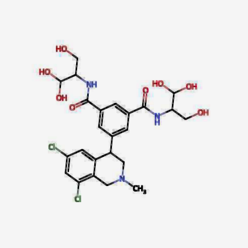 CN1Cc2c(Cl)cc(Cl)cc2C(c2cc(C(=O)NC(CO)C(O)O)cc(C(=O)NC(CO)C(O)O)c2)C1